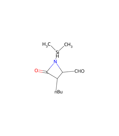 CCCCC1C(=O)N([SiH](C)C)C1C=O